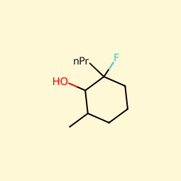 CCCC1(F)CCCC(C)C1O